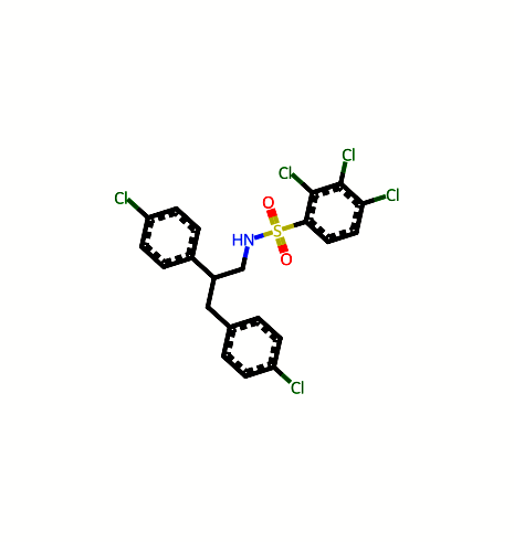 O=S(=O)(NCC(Cc1ccc(Cl)cc1)c1ccc(Cl)cc1)c1ccc(Cl)c(Cl)c1Cl